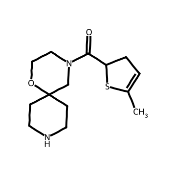 CC1=CCC(C(=O)N2CCOC3(CCNCC3)C2)S1